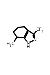 CC1CCCc2c(C(F)(F)F)n[nH]c21